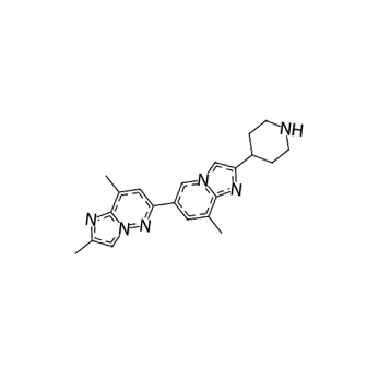 Cc1cn2nc(-c3cc(C)c4nc(C5CCNCC5)cn4c3)cc(C)c2n1